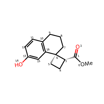 COC(=O)[C@@H]1CC[C@]12CCCc1ccc(O)cc12